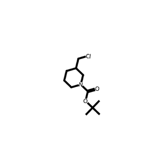 CC(C)(C)OC(=O)N1CCCC(CCl)C1